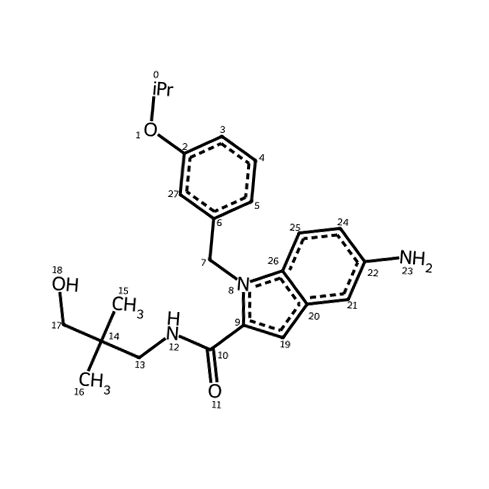 CC(C)Oc1cccc(Cn2c(C(=O)NCC(C)(C)CO)cc3cc(N)ccc32)c1